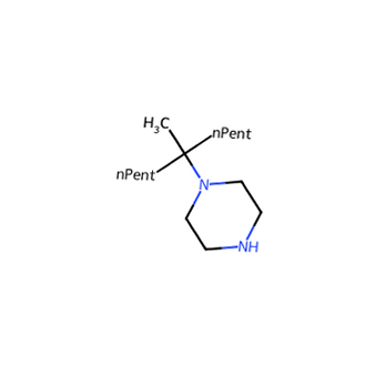 CCCCCC(C)(CCCCC)N1CCNCC1